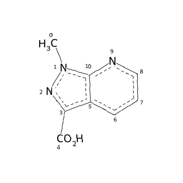 Cn1nc(C(=O)O)c2cccnc21